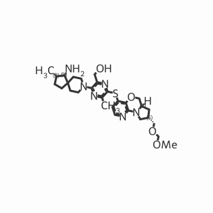 COCOC[C@H]1C[C@H]2COc3c(Sc4nc(CO)c(N5CCC6(CC[C@@H](C)[C@H]6N)CC5)nc4C)ccnc3N2C1